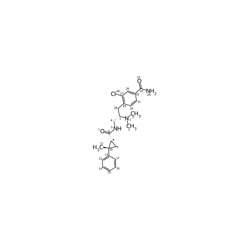 CN(C)[C@H](CNC(=O)[C@@H]1C[C@]1(C)c1ccccc1)Cc1ccc(C(N)=O)cc1Cl